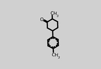 Cc1ccc(C2CCC(C)C(=O)C2)cc1